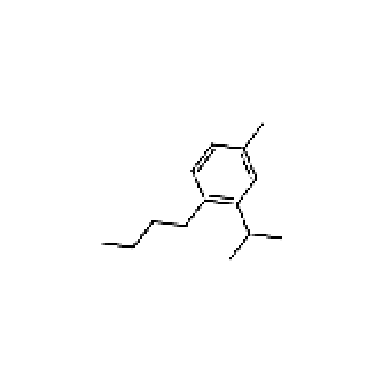 CCCCc1ccc(C)cc1C(C)C